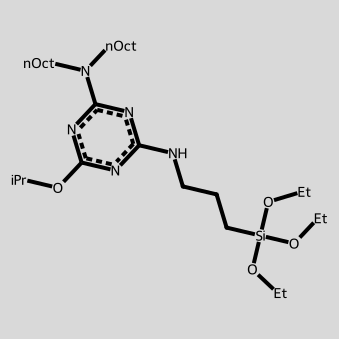 CCCCCCCCN(CCCCCCCC)c1nc(NCCC[Si](OCC)(OCC)OCC)nc(OC(C)C)n1